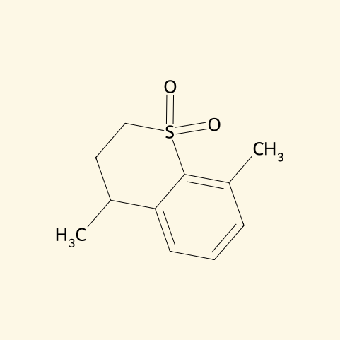 Cc1cccc2c1S(=O)(=O)CCC2C